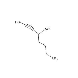 CCCCC(O)C#CO